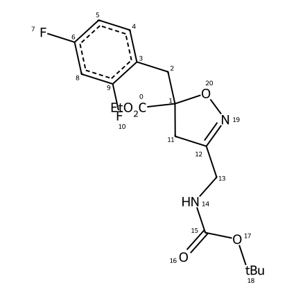 CCOC(=O)C1(Cc2ccc(F)cc2F)CC(CNC(=O)OC(C)(C)C)=NO1